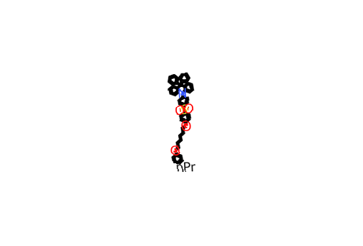 CCCc1ccc(OCCCCCCOc2ccc(S(=O)(=O)c3ccc(N4c5ccccc5C(c5ccccc5)(c5ccccc5)c5ccccc54)cc3)cc2)cc1